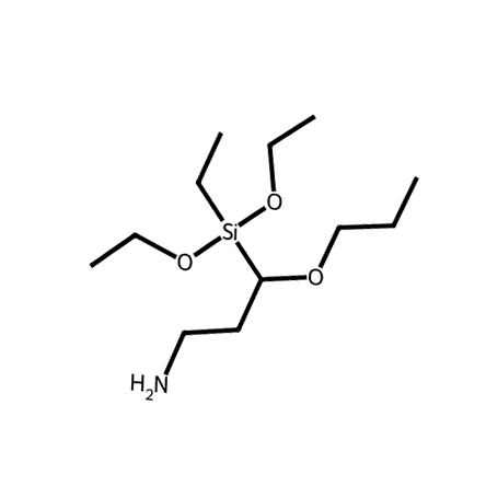 CCCOC(CCN)[Si](CC)(OCC)OCC